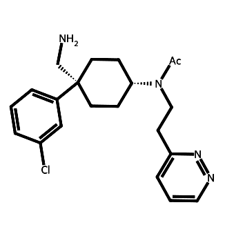 CC(=O)N(CCc1cccnn1)[C@H]1CC[C@](CN)(c2cccc(Cl)c2)CC1